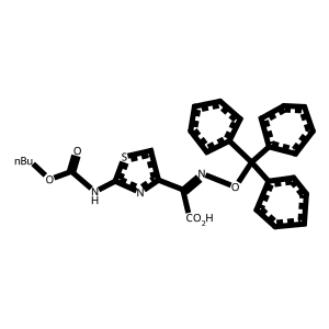 CCCCOC(=O)Nc1nc(/C(=N/OC(c2ccccc2)(c2ccccc2)c2ccccc2)C(=O)O)cs1